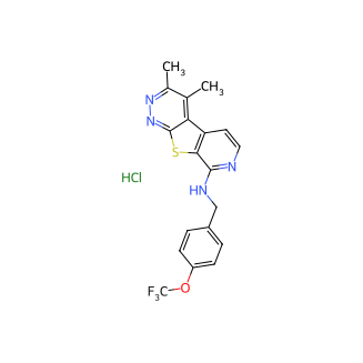 Cc1nnc2sc3c(NCc4ccc(OC(F)(F)F)cc4)nccc3c2c1C.Cl